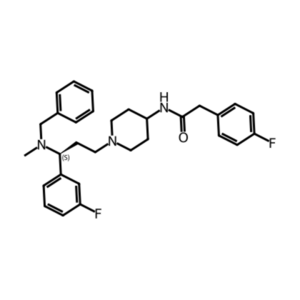 CN(Cc1ccccc1)[C@@H](CCN1CCC(NC(=O)Cc2ccc(F)cc2)CC1)c1cccc(F)c1